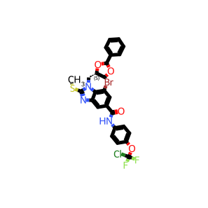 CSc1nc2cc(C(=O)Nc3ccc(OC(F)(F)Cl)cc3)cc(Br)c2n1C[C@H]1COC(c2ccccc2)O1